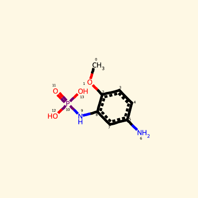 COc1ccc(N)cc1NP(=O)(O)O